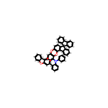 c1ccc(N(c2ccccc2-c2ccc3c(c2)oc2ccccc23)c2cccc3c2Oc2c(ccc4c2-c2ccccc2C42c4ccccc4-c4ccccc42)O3)cc1